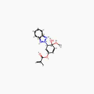 C=C(C)C(=O)OC1=CC(n2nc3ccccc3n2)C(O)(OCC)C=C1